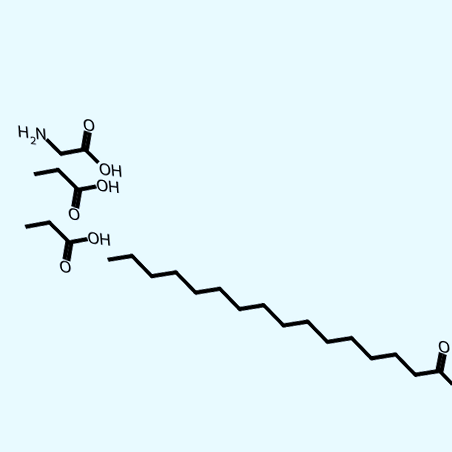 CCC(=O)O.CCC(=O)O.CCCCCCCCCCCCCCCC(=O)O.NCC(=O)O